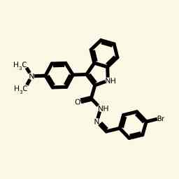 CN(C)c1ccc(-c2c(C(=O)N/N=C\c3ccc(Br)cc3)[nH]c3ccccc23)cc1